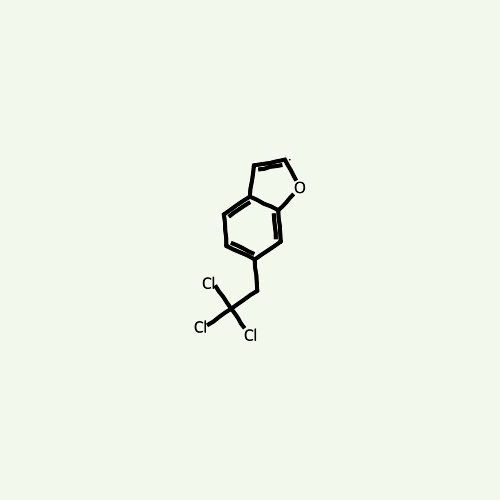 ClC(Cl)(Cl)Cc1ccc2c[c]oc2c1